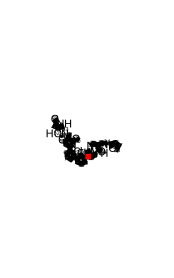 COc1nc(-c2cccc(-c3cccc(-c4ccn5c(=O)c(CNC[C@@H]6CCCO6)cnc5c4)c3Cl)c2Cl)ccc1CN(C[C@@H]1CCC(=O)N1)C(=O)O